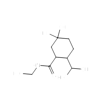 CCNC(=O)C1CC(C)(C)CCC1C(C)C